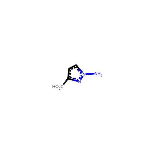 Nn1ccc(C(=O)O)n1